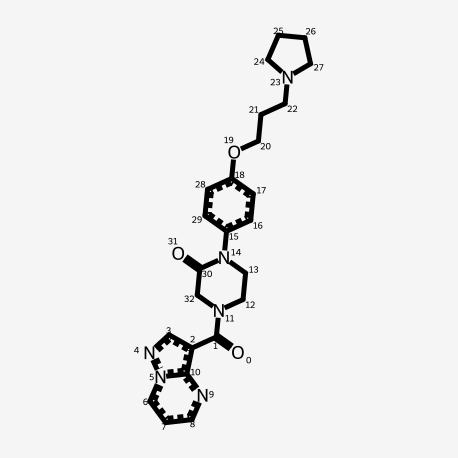 O=C(c1cnn2cccnc12)N1CCN(c2ccc(OCCCN3CCCC3)cc2)C(=O)C1